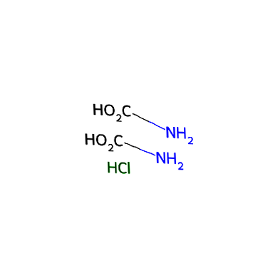 Cl.NC(=O)O.NC(=O)O